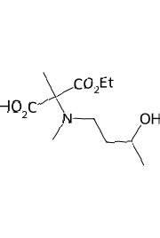 CCOC(=O)C(C)(C(=O)O)N(C)CCC(C)O